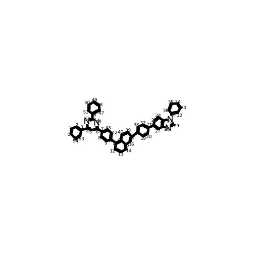 c1ccc(-c2cc(-c3ccc(-c4cccc5cc(-c6ccc(-c7ccc8c(c7)ncn8-c7ccccc7)cc6)ccc45)cc3)nc(-c3ccccc3)n2)cc1